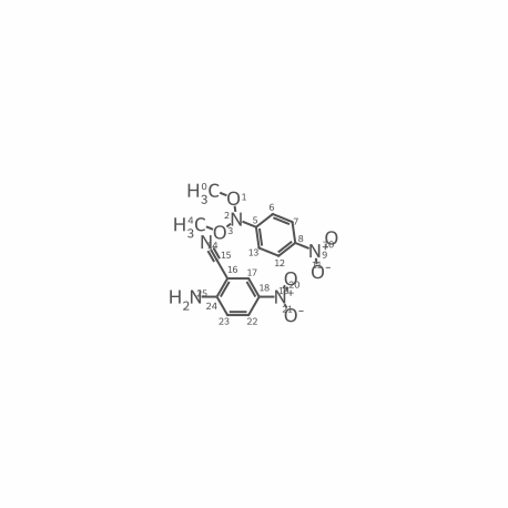 CON(OC)c1ccc([N+](=O)[O-])cc1.N#Cc1cc([N+](=O)[O-])ccc1N